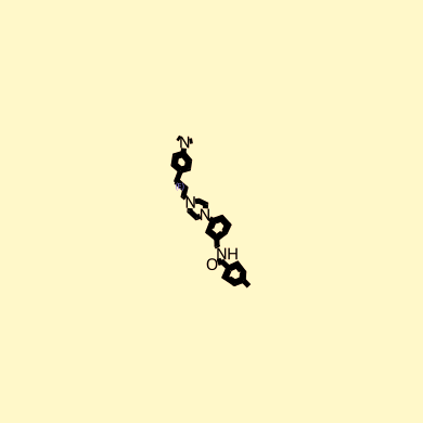 Cc1ccc(C(=O)NCc2cccc(N3CCN(C/C=C/c4ccc(N(C)C)cc4)CC3)c2)cc1